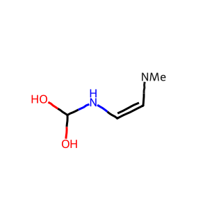 CN/C=C\NC(O)O